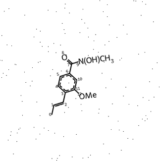 CC=Cc1ccc(C(=O)N(C)O)cc1OC